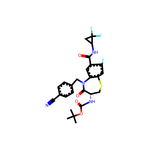 CC(C)(C)OC(=O)N[C@H]1CSc2cc(F)c(C(=O)NC3CC3(F)F)cc2N(Cc2ccc(C#N)cc2)C1=O